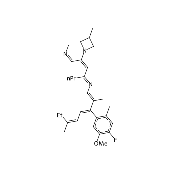 CCCC(/C=C(\C=N/C)N1CC(C)C1)=N\C=C(C)\C(=C\C=C(\C)CC)c1cc(OC)c(F)cc1C